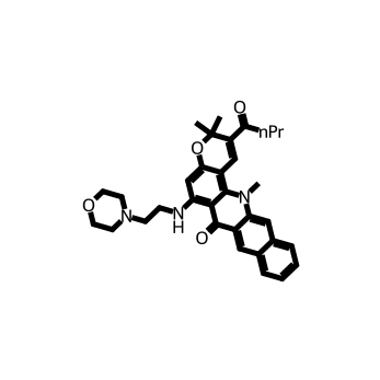 CCCC(=O)C1=Cc2c(cc(NCCN3CCOCC3)c3c(=O)c4cc5ccccc5cc4n(C)c23)OC1(C)C